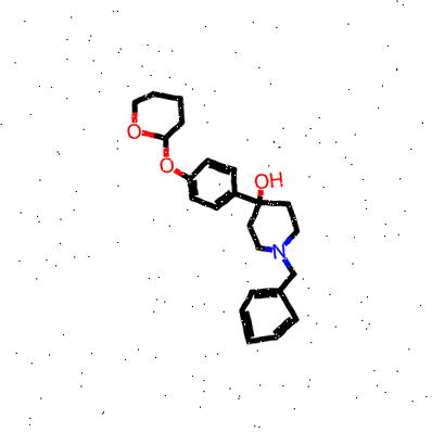 OC1(c2ccc(OC3CCCCO3)cc2)CCN(Cc2ccccc2)CC1